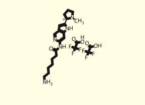 CN1CCC[C@@H]1c1cc2cnc(NC(=O)CCCCCCN)cc2[nH]1.O=C(O)C(F)(F)F.O=C(O)C(F)(F)F